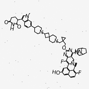 C#Cc1c(F)ccc2cc(O)cc(-c3ncc4c(N5CC6CCC(C5)N6)nc(OCC5(CN6CCC7(CC6)CC(N6CCC(c8ccc9c(C%10CCC(=O)NC%10=O)cn(C)c9c8)CC6)C7)CC5)nc4c3F)c12